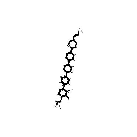 C/C=C/C1CCC(c2ccc(-c3ccc(-c4ccc(-c5ccc(OCC)c(F)c5F)cc4)cc3)cc2)OC1